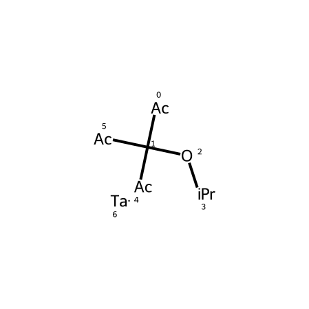 CC(=O)C(OC(C)C)(C(C)=O)C(C)=O.[Ta]